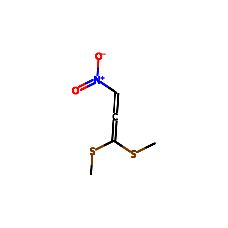 CSC(=C=C[N+](=O)[O-])SC